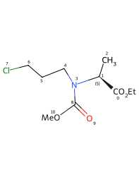 CCOC(=O)[C@H](C)N(CCCCl)C(=O)OC